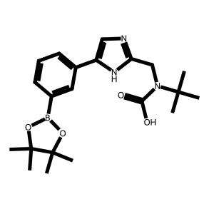 CC(C)(C)N(Cc1ncc(-c2cccc(B3OC(C)(C)C(C)(C)O3)c2)[nH]1)C(=O)O